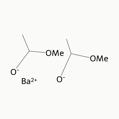 COC(C)[O-].COC(C)[O-].[Ba+2]